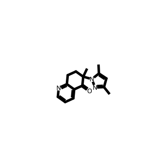 Cc1cc(C)n(C2(C)CCc3ncccc3C2=O)n1